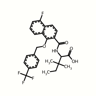 CCC(C)(C)C(NC(=O)c1ccc2c(F)cccc2c1OCc1ccc(C(F)(F)F)cc1)C(=O)O